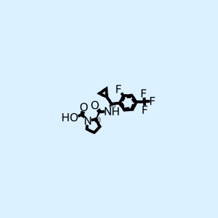 O=C(N[C@@H](c1ccc(C(F)(F)F)cc1F)C1CC1)[C@H]1CCCN1C(=O)O